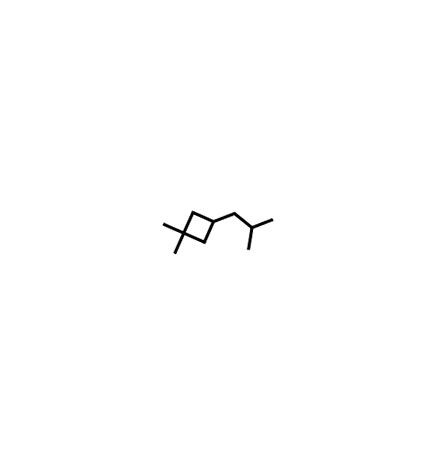 CC(C)CC1CC(C)(C)C1